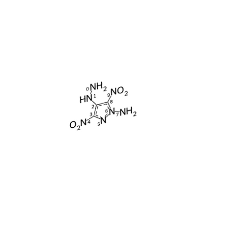 NNc1c([N+](=O)[O-])nn(N)c1[N+](=O)[O-]